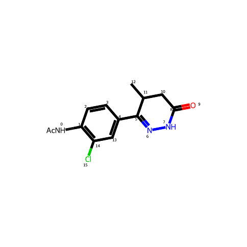 CC(=O)Nc1ccc(C2=NNC(=O)CC2C)cc1Cl